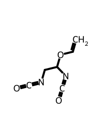 C=COC(CN=C=O)N=C=O